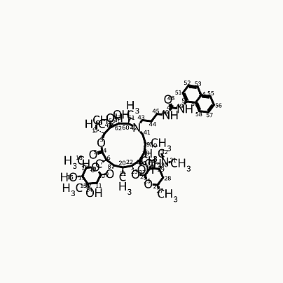 CC[C@H]1OC(=O)[C@H](C)[C@@H](O[C@H]2C[C@@](C)(O)[C@@H](O)[C@H](C)O2)[C@H](C)[C@@H](O[C@@H]2O[C@H](C)C[C@H](N(C)C)[C@H]2O)[C@](C)(O)C[C@@H](C)CN(CCCNC(=O)Nc2cccc3ccccc23)[C@H](C)[C@@H](O)[C@]1(C)O